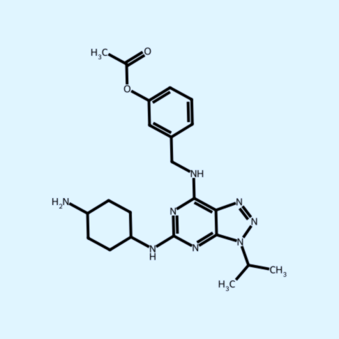 CC(=O)Oc1cccc(CNc2nc(NC3CCC(N)CC3)nc3c2nnn3C(C)C)c1